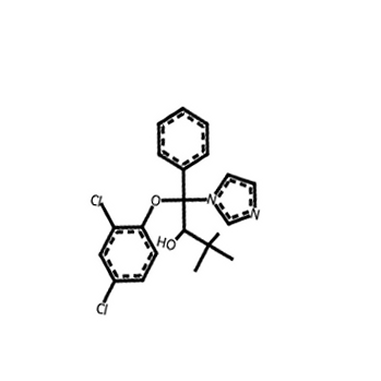 CC(C)(C)C(O)C(Oc1ccc(Cl)cc1Cl)(c1ccccc1)n1ccnc1